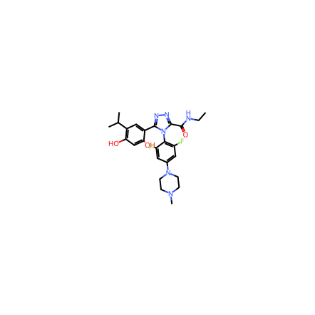 CCNC(=O)c1nnc(-c2cc(C(C)C)c(O)cc2O)n1-c1c(F)cc(N2CCN(C)CC2)cc1F